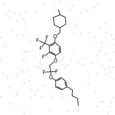 CCCCc1ccc(OC(F)(F)COc2ccc(OCC3CCC(C)CC3)c(C(F)(F)F)c2F)cc1